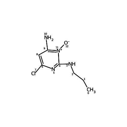 CCCNc1nc(Cl)cc(N)[n+]1[O-]